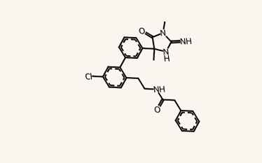 CN1C(=N)NC(C)(c2cccc(-c3cc(Cl)ccc3CCNC(=O)Cc3ccccc3)c2)C1=O